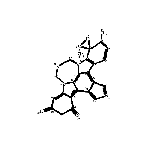 C[C@H]1C=CC2=C(C13OO3)[N@+]1(C)CSCn3c4c(c5c6c(c2c1c53)C=NC=6)C(=O)CC(=O)C=4